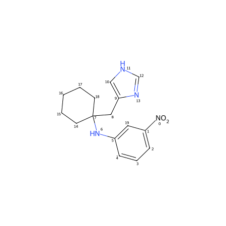 O=[N+]([O-])c1cc[c]c(NC2(Cc3c[nH]cn3)CCCCC2)c1